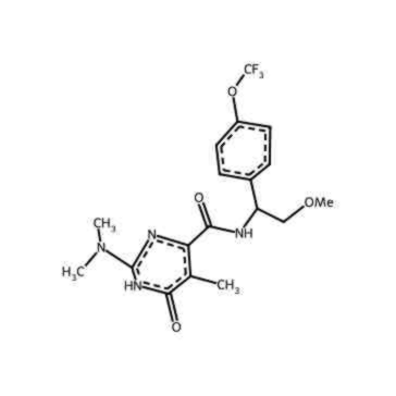 COCC(NC(=O)c1nc(N(C)C)[nH]c(=O)c1C)c1ccc(OC(F)(F)F)cc1